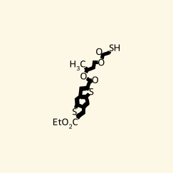 CCOC(=O)c1cc2cc3sc(C(=O)OC(C)CCOC(=O)CS)cc3cc2s1